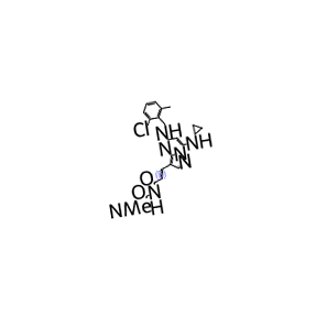 CNC(=O)NC(=O)/C=C/c1cnn2c(NC3CC3)cc(NCc3c(C)cccc3Cl)nc12